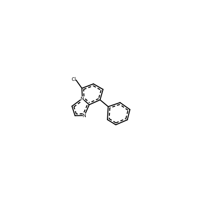 Clc1ccc(-c2ccccc2)c2nccn12